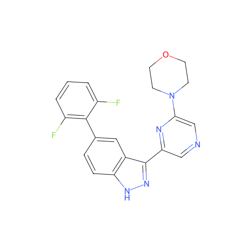 Fc1cccc(F)c1-c1ccc2[nH]nc(-c3cncc(N4CCOCC4)n3)c2c1